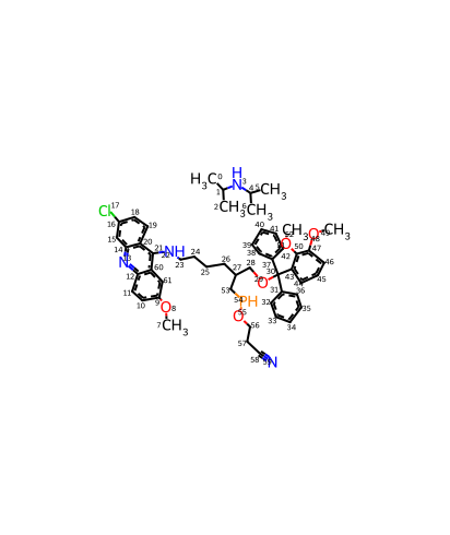 CC(C)NC(C)C.COc1ccc2nc3cc(Cl)ccc3c(NCCCCC(COC(c3ccccc3)(c3ccccc3)c3cccc(OC)c3OC)CPOCCC#N)c2c1